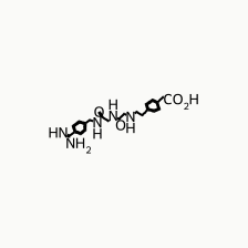 N=C(N)c1ccc(CNC(=O)CNC(=O)CNCCc2ccc(CC(=O)O)cc2)cc1